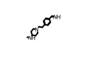 CNC1CCN(CCc2ccc(C=N)cc2)CC1